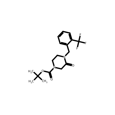 CC(C)(C)OC(=O)N1CCN(Cc2ccccc2C(F)(F)F)C(=O)C1